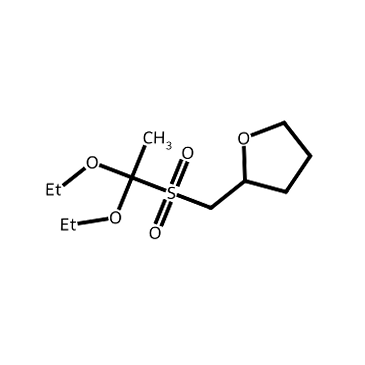 CCOC(C)(OCC)S(=O)(=O)CC1CCCO1